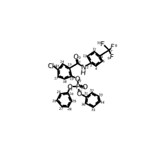 O=C(Nc1ccc(C(F)(F)F)cc1)c1cc(Cl)ccc1OP(=O)(Oc1ccccc1)Oc1ccccc1